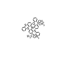 CC1(C)c2ccccc2Oc2c(N(c3cccc4c3Sc3ccccc3S4)c3cccc4c3Sc3ccccc3C4(C)C)cccc21